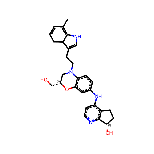 CC1=C2NC=C(CCN3C[C@@H](CO)Oc4cc(Nc5ccnc6c5CC[C@@H]6O)ccc43)C2CC=C1